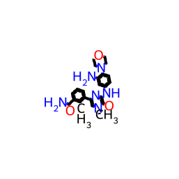 Cc1c(C(N)=O)cccc1-c1cn(C)c(=O)c(Nc2ccc(N3CCOCC3)c(N)c2)n1